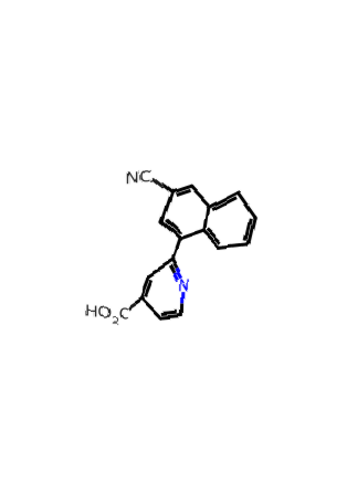 N#Cc1cc(-c2cc(C(=O)O)ccn2)c2ccccc2c1